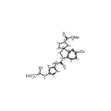 CCOC(=O)C(CC)Sc1cnc(NC(=O)N2CC3(CCN(C(=O)OC)C3)c3cc(Cl)ccc32)s1